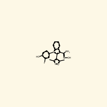 Cc1noc(C)c1-c1c(/C(N)=N/O)c2ccccc2n1-c1ccc(O)c(F)c1